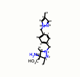 CC1=NN(Cc2ccc(Cn3cc(C)cn3)cc2)C(C)C1(N)C(=O)O